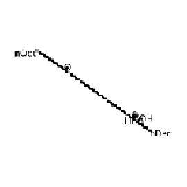 CCCCCCCC/C=C\CCCCCCCCCCCC(=O)CCCCCCCCCCCCCCCCCCCCCCCCCCCCCC(=O)NC(CO)CCCCCCCCCCCCCCCC